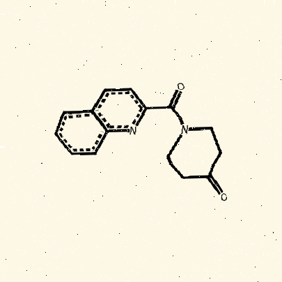 O=C1CCN(C(=O)c2ccc3ccccc3n2)CC1